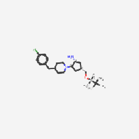 CC(C)(C)[Si](C)(C)OC[C@H]1C[C@@H](N)[C@H](N2CCC(Cc3ccc(Cl)cc3)CC2)C1